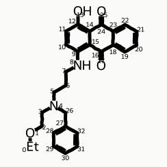 CCOCCN(CCCNc1ccc(O)c2c1C(=O)c1ccccc1C2=O)Cc1ccccc1